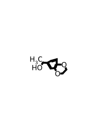 CC(O)c1ccc2c(c1)OCCO2